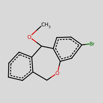 COC1c2ccccc2COc2cc(Br)ccc21